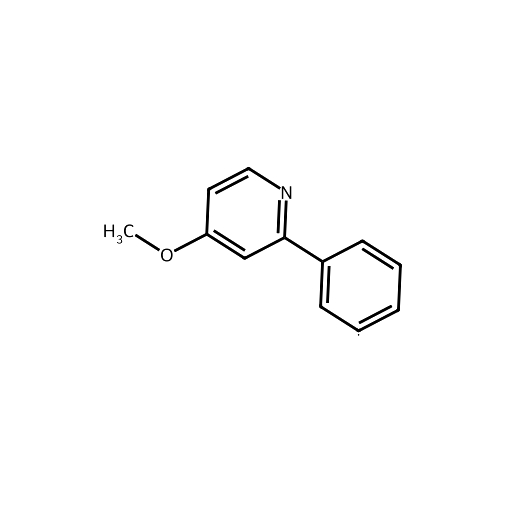 COc1ccnc(-c2c[c]ccc2)c1